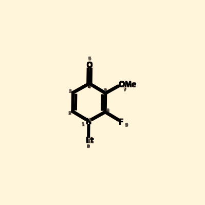 CCn1ccc(=O)c(OC)c1F